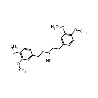 COc1ccc(CCNCCc2ccc(OC)c(OC)c2)cc1OC.Cl